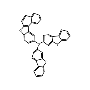 c1ccc2c(c1)ccc1oc3ccc(N(c4ccc5c(c4)oc4ccccc45)c4ccc5c(c4)sc4ccccc45)cc3c12